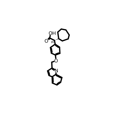 O=C(O)[C@@H](c1ccc(OCc2ccc3ccccc3n2)cc1)C1CCCCCC1